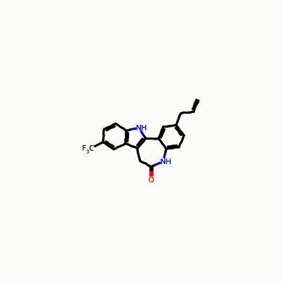 C=CCc1ccc2c(c1)-c1[nH]c3ccc(C(F)(F)F)cc3c1CC(=O)N2